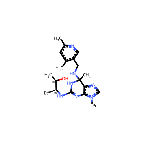 CC[C@H](NC1=Nc2c(ncn2C(C)C)C(C)(NCc2cnc(C)cc2C)N1)[C@@H](C)O